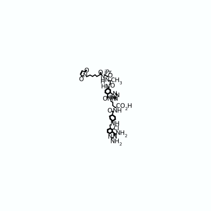 CC(NC(=O)C(NC(=O)CCCCCN1C(=O)C=CC1=O)C(C)C)C(=O)Nc1ccc(C(=O)NCCCC(NC(=O)c2ccc(NCc3ccc4nc(N)nc(N)c4c3Cl)cc2)C(=O)O)c(-c2nnn[nH]2)c1